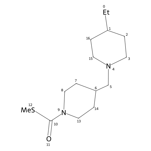 CCC1CCN(CC2CCN(C(=O)SC)CC2)CC1